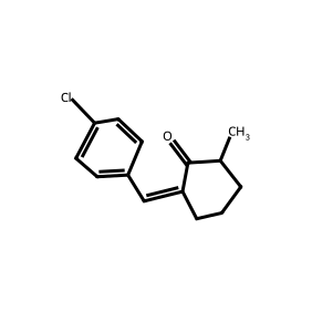 CC1CCC/C(=C/c2ccc(Cl)cc2)C1=O